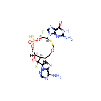 Nc1nc2c(ncn2[C@@H]2SCOCC[C@@H]3[C@@H](COP(=O)(S)O[C@@H]2F)OC3(F)c2cnc3c(N)ncnn23)c(=O)[nH]1